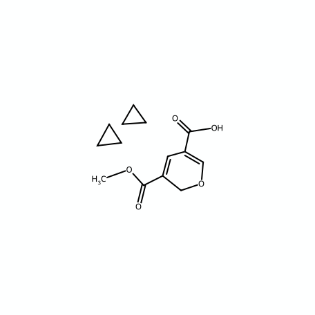 C1CC1.C1CC1.COC(=O)C1=CC(C(=O)O)=COC1